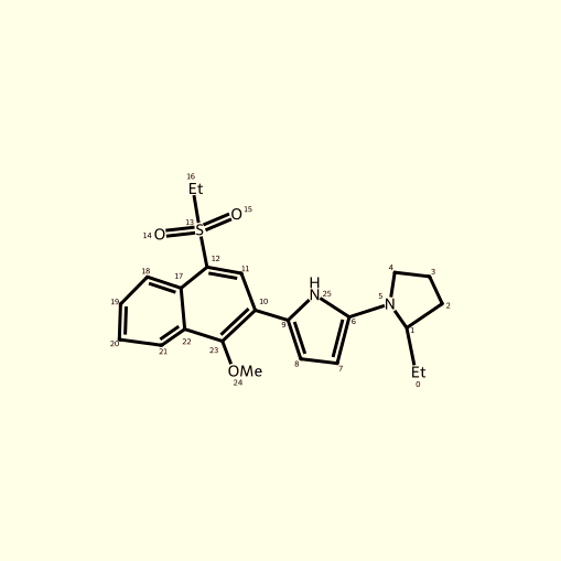 CCC1CCCN1c1ccc(-c2cc(S(=O)(=O)CC)c3ccccc3c2OC)[nH]1